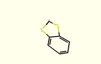 [C]1Sc2ccccc2S1